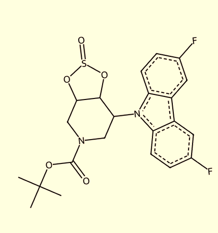 CC(C)(C)OC(=O)N1CC2OS(=O)OC2C(n2c3ccc(F)cc3c3cc(F)ccc32)C1